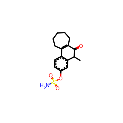 CC1C(=O)C2=C(CCCCC2)c2ccc(OS(N)(=O)=O)cc21